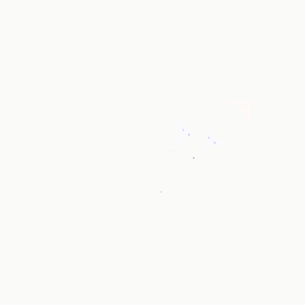 Clc1ccc(C2C3CCC(N4CCOCS4)(CC3)C23CCC=N3)cc1